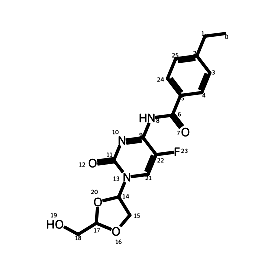 CCc1ccc(C(=O)Nc2nc(=O)n(C3COC(CO)O3)cc2F)cc1